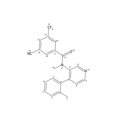 Cc1ccccc1-c1ccncc1N(C)C(=O)c1cc(C#N)cc(C(F)(F)F)c1